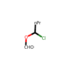 CCCC(Cl)O[C]=O